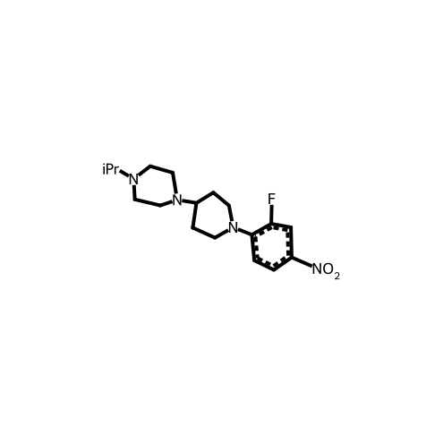 CC(C)N1CCN(C2CCN(c3ccc([N+](=O)[O-])cc3F)CC2)CC1